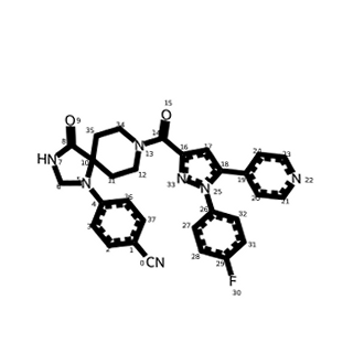 N#Cc1ccc(N2CNC(=O)C23CCN(C(=O)c2cc(-c4ccncc4)n(-c4ccc(F)cc4)n2)CC3)cc1